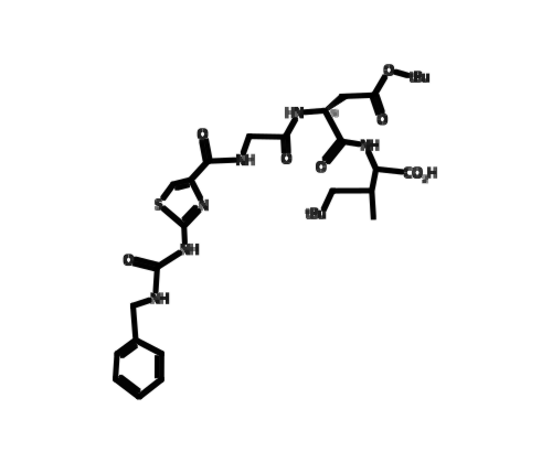 CC(CC(C)(C)C)C(NC(=O)[C@H](CC(=O)OC(C)(C)C)NC(=O)CNC(=O)c1csc(NC(=O)NCc2ccccc2)n1)C(=O)O